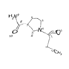 C[CH]C(=O)N1CC[C@@H](C(N)=O)C1